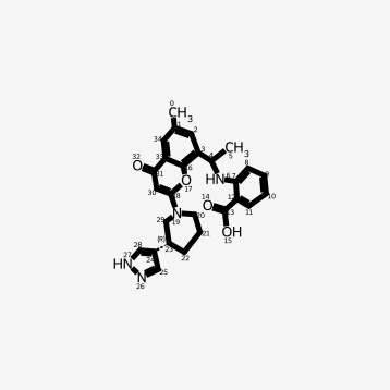 Cc1cc(C(C)Nc2ccccc2C(=O)O)c2oc(N3CCC[C@H](c4cn[nH]c4)C3)cc(=O)c2c1